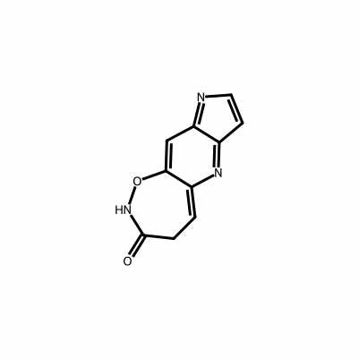 O=C1CC=c2nc3c(cc2ON1)=NC=C3